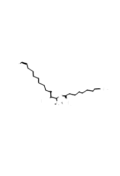 CCCCCCCC/C=C\CCCCCCCC(=O)C(O)C([P-]C(=O)CCCCCCCCCCCCCCCCC)[N+](C)(C)C